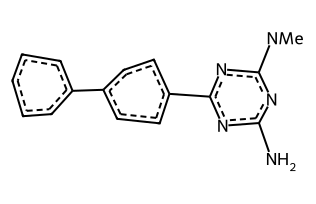 CNc1nc(N)nc(-c2ccc(-c3ccccc3)cc2)n1